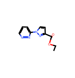 CCOC(=O)c1ccn(-c2cccnn2)n1